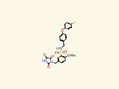 COc1ccc(CN2C(=O)NC(=O)C2=O)cc1S(=O)(=O)NCc1ccc(Oc2ccc(F)cc2)cc1